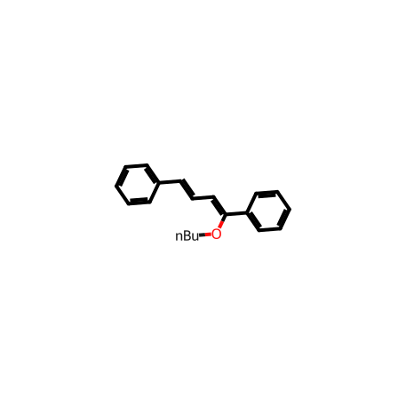 CCCCOC(=CC=Cc1ccccc1)c1ccccc1